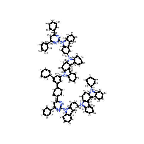 c1ccc(-c2cc(-c3ccc(-c4cc(-c5ccccc5)nc(-n5c6ccccc6c6cc(-n7c8ccccc8c8c9c%10ccccc%10n(-c%10ccccc%10)c9ccc87)ccc65)n4)cc3)cc(-n3c4ccccc4c4c5c6ccccc6n(-c6ccc7c(c6)c6ccccc6n7-c6nc(-c7ccccc7)cc(-c7ccccc7)n6)c5ccc43)c2)cc1